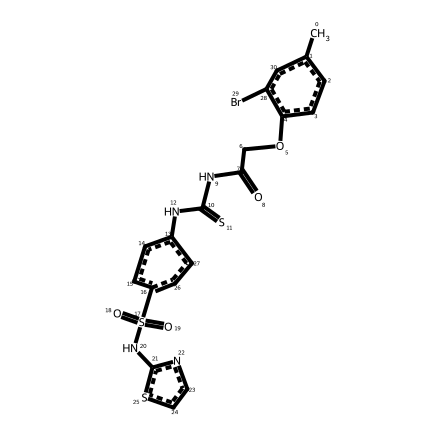 Cc1ccc(OCC(=O)NC(=S)Nc2ccc(S(=O)(=O)Nc3nccs3)cc2)c(Br)c1